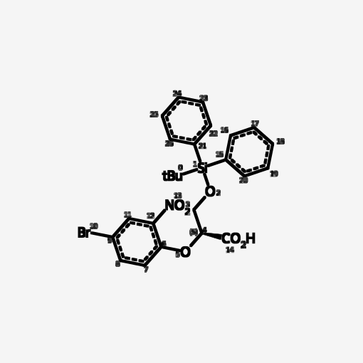 CC(C)(C)[Si](OC[C@H](Oc1ccc(Br)cc1[N+](=O)[O-])C(=O)O)(c1ccccc1)c1ccccc1